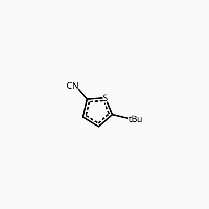 [C-]#[N+]c1ccc(C(C)(C)C)s1